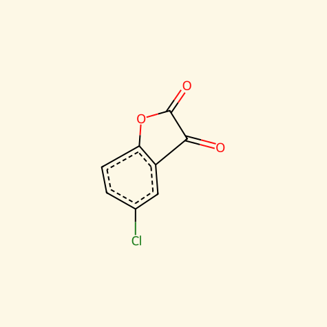 O=C1Oc2ccc(Cl)cc2C1=O